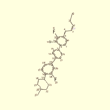 CC/C=C\Cc1ccc(-c2ccc(-c3ccc(C4CCC(C)CC4)c(F)c3)cc2)c(F)c1F